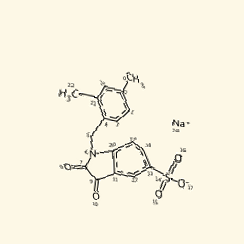 Cc1ccc(CN2C(=O)C(=O)c3cc(S(=O)(=O)[O-])ccc32)c(C)c1.[Na+]